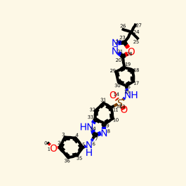 COc1ccc(Nc2nc3cc(S(=O)(=O)Nc4ccc(-c5nnc(C(C)(C)C)o5)cc4)ccc3[nH]2)cc1